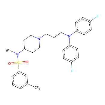 CC(C)N(C1CCN(CCCN(c2ccc(F)cc2)c2ccc(F)cc2)CC1)S(=O)(=O)c1cccc(C(F)(F)F)c1